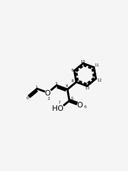 C=COC=C(C(=O)O)c1ccccc1